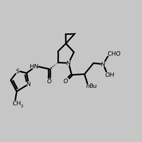 CCCCC(CN(O)C=O)C(=O)N1CC2(CC2)C[C@H]1C(=O)Nc1nc(C)cs1